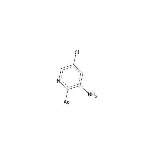 CC(=O)c1ncc(Cl)cc1N